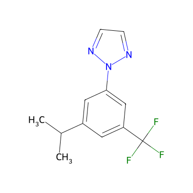 CC(C)c1cc(-n2nccn2)cc(C(F)(F)F)c1